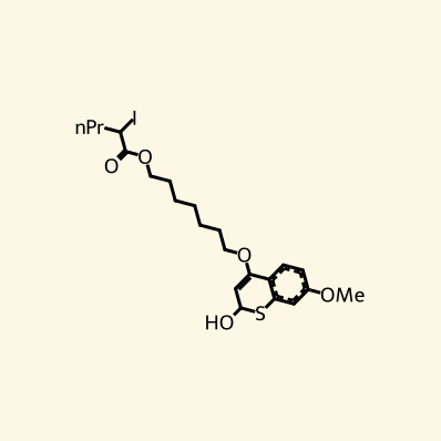 CCCC(I)C(=O)OCCCCCCCOC1=CC(O)Sc2cc(OC)ccc21